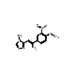 COc1ccc(/C(C)=C/c2nncn2C)cc1[N+](=O)[O-]